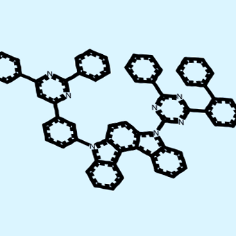 c1ccc(-c2cc(-c3cccc(-n4c5ccccc5c5c6c7ccccc7n(-c7nc(-c8ccccc8)nc(-c8ccccc8-c8ccccc8)n7)c6ccc54)c3)nc(-c3ccccc3)n2)cc1